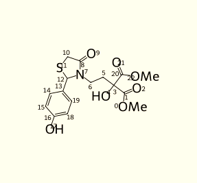 COC(=O)C(O)(CCN1C(=O)CSC1c1ccc(O)cc1)C(=O)OC